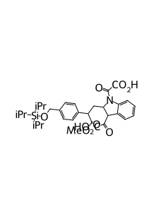 COC(=O)C(CC1C(C(=O)C(=O)O)c2ccccc2N1C(=O)C(=O)O)c1ccc(CO[Si](C(C)C)(C(C)C)C(C)C)cc1